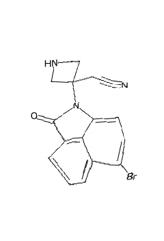 N#CC1(N2C(=O)c3cccc4c(Br)ccc2c34)CNC1